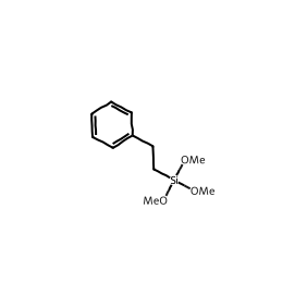 CO[Si](CCc1ccccc1)(OC)OC